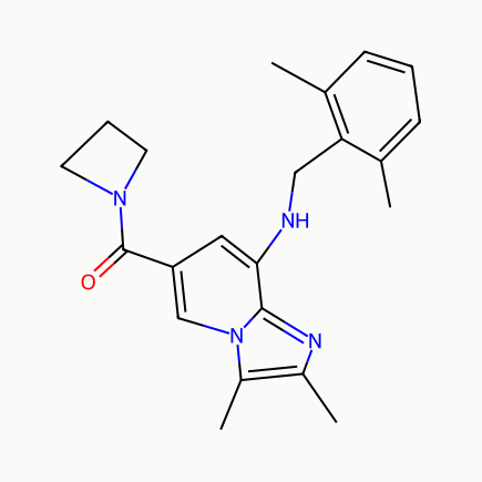 Cc1cccc(C)c1CNc1cc(C(=O)N2CCC2)cn2c(C)c(C)nc12